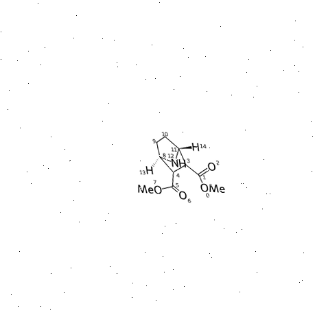 COC(=O)C1C(C(=O)OC)[C@H]2CC[C@H]1N2